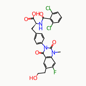 Cn1c(=O)n(-c2ccc(C[C@H](NC(=O)c3c(Cl)cccc3Cl)C(=O)O)cc2)c(=O)c2cc(CCO)c(F)cc21